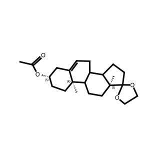 CC(=O)O[C@H]1CC[C@@]2(C)C(=CCC3C2CC[C@@]2(C)C3CCC23OCCO3)C1